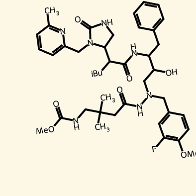 CCC(C)C(C(=O)NC(Cc1ccccc1)C(O)CN(Cc1ccc(OC)c(F)c1)NC(=O)CC(C)(C)CNC(=O)OC)C1CNC(=O)N1Cc1cccc(C)n1